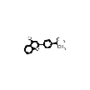 CC(C)c1ccc(-c2cc(=O)c3ccccc3o2)cc1